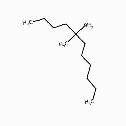 BC(C)(CCCC)CCCCCC